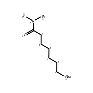 CCCCCCCCCCCCCCCC(=O)N(CCC)CCC